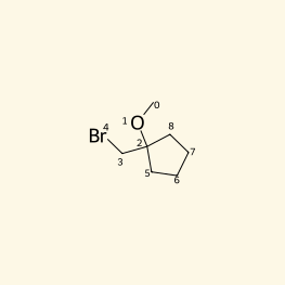 COC1(CBr)CCCC1